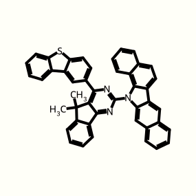 CC1(C)c2ccccc2-c2nc(-n3c4cc5ccccc5cc4c4ccc5ccccc5c43)nc(-c3ccc4sc5ccccc5c4c3)c21